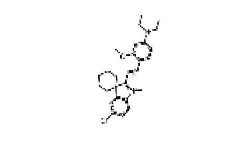 CCN(CC)c1ccc(/C=C/C2=[N+](C)c3ccc(Cl)cc3C23CCCCC3)c(OC)c1